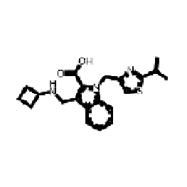 CC(C)c1nc(Cn2c(C(=O)O)c(CNC3CCC3)c3ccccc32)cs1